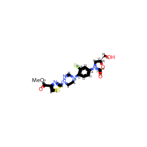 COC(=O)c1csc(N2CCN(c3ccc(N4C[C@H](CO)OC4=O)cc3F)C=N2)n1